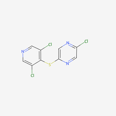 Clc1cnc(Sc2c(Cl)cncc2Cl)cn1